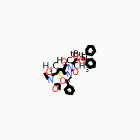 Cc1c(-c2ncco2)sc2c1c(=O)n(C(C)(C)C(=O)O[Si](c1ccccc1)(c1ccccc1)C(C)(C)C)c(=O)n2C[C@H](OC1COC1)c1ccccc1